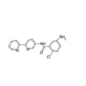 Nc1ccc(Cl)c(C(=O)Nc2ccc(-c3ccccn3)nc2)c1